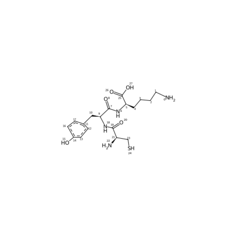 NCCCC[C@@H](NC(=O)[C@H](Cc1ccc(O)cc1)NC(=O)[C@H](N)CS)C(=O)O